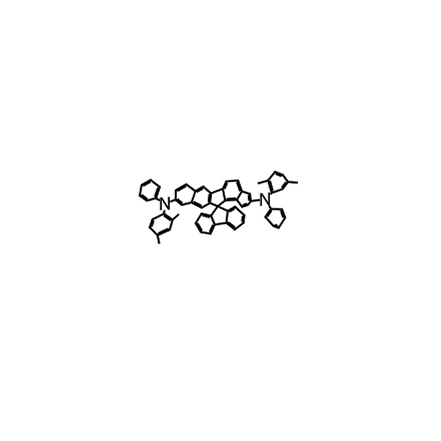 Cc1ccc(N(c2ccccc2)c2ccc3cc4c(cc3c2)C2(c3ccccc3-c3ccccc32)c2c-4ccc3cc(N(c4ccccc4)c4cc(C)ccc4C)ccc23)c(C)c1